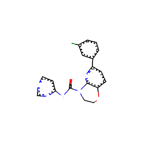 O=C(Nc1ccncn1)N1CCOc2ccc(-c3cccc(F)c3)nc21